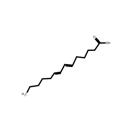 CCCCCC=CC=CCCCCC(=O)O